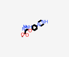 COC(=O)c1nn[nH]c1Oc1ccc(N2CCNCC2)cc1